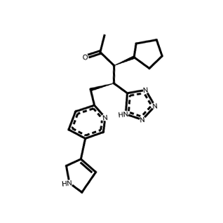 CC(=O)[C@@H](C1CCCC1)[C@H](Cc1ccc(C2=CCNC2)cn1)c1nnn[nH]1